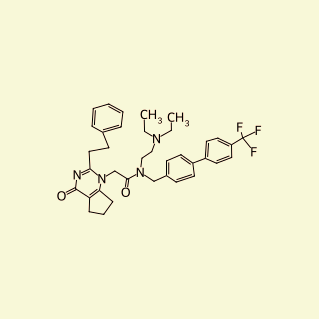 CCN(CC)CCN(Cc1ccc(-c2ccc(C(F)(F)F)cc2)cc1)C(=O)Cn1c(CCc2ccccc2)nc(=O)c2c1CCC2